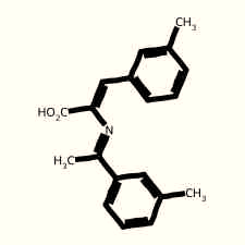 C/C(=N\C(=C/c1cccc(C)c1)C(=O)O)c1cccc(C)c1